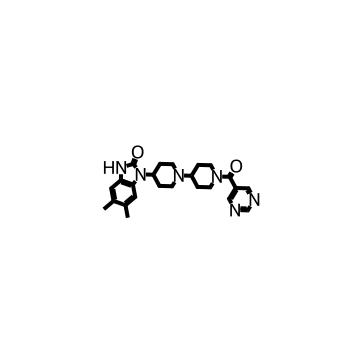 Cc1cc2[nH]c(=O)n(C3CCN(C4CCN(C(=O)c5cncnc5)CC4)CC3)c2cc1C